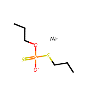 CCCOP([O-])(=S)SCCC.[Na+]